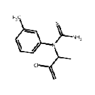 C=C(Cl)C(C)N(C(N)=S)c1cccc(C(F)(F)F)c1